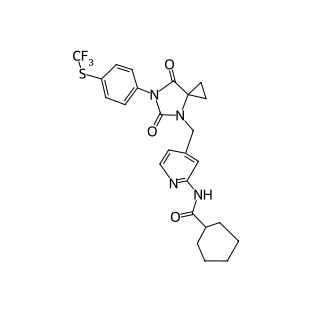 O=C(Nc1cc(CN2C(=O)N(c3ccc(SC(F)(F)F)cc3)C(=O)C23CC3)ccn1)C1CCCCC1